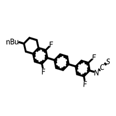 CCCCC1CCc2c(cc(F)c(-c3ccc(-c4cc(F)c(N=C=S)c(F)c4)cc3)c2F)C1